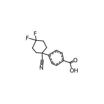 N#CC1(c2ccc(C(=O)O)cc2)CCC(F)(F)CC1